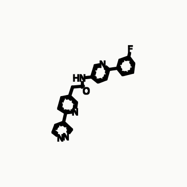 O=C(Cc1ccc(-c2ccnnc2)nc1)Nc1ccc(-c2cccc(F)c2)nc1